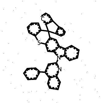 c1ccc(-c2cc(-n3c4ccccc4c4cc5c(cc43)Sc3ccccc3C53c4ccccc4-c4ccccc43)nc3ccccc23)cc1